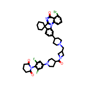 O=C(C1CCN(c2cc(F)c(N3C(=O)CCCC3=O)c(F)c2)CC1)N1CC(CN2CCC(c3ccc4c(c3)-n3c(nc(=O)c5c(Br)cccc53)C43CCCCC3)CC2)C1